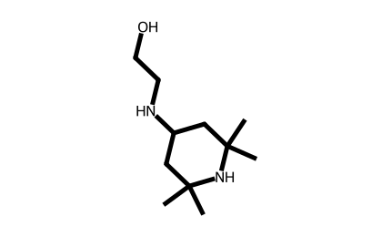 CC1(C)CC(NCCO)CC(C)(C)N1